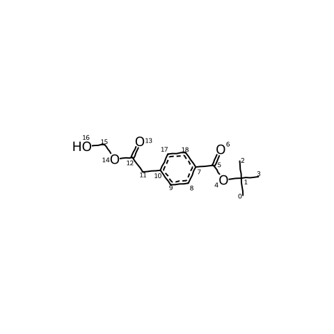 CC(C)(C)OC(=O)c1ccc(CC(=O)OCO)cc1